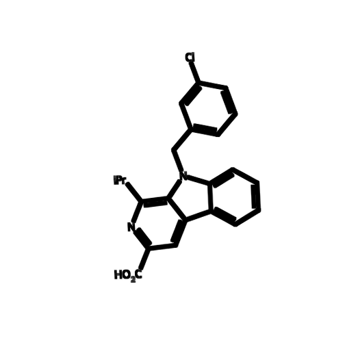 CC(C)c1nc(C(=O)O)cc2c3ccccc3n(Cc3cccc(Cl)c3)c12